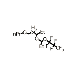 CCCOC[SiH2]C(CC)OC(CC)OC(F)(F)C(F)(F)C(F)(F)F